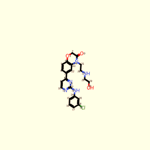 O=C1COc2ccc(-c3ccnc(Nc4cccc(Cl)c4)n3)cc2N1CCNCCO